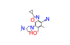 Cc1c(CO)c(N2CC[C@H](N(C)C)C2)c2oc(C3CC3)nc2c1C#N